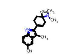 CCCCC1(N(C)C)CC=C(c2[nH]c3ccc(C#N)cc3c2C)CC1